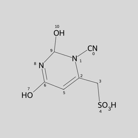 N#CN1C(CS(=O)(=O)O)=CC(O)=NC1O